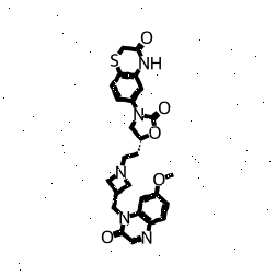 COc1ccc2ncc(=O)n(CC3CN(CC[C@@H]4CN(c5ccc6c(c5)NC(=O)CS6)C(=O)O4)C3)c2c1